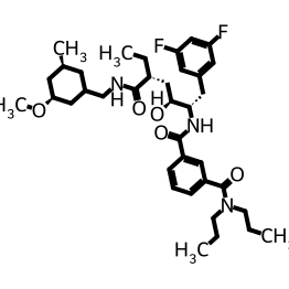 CCCN(CCC)C(=O)c1cccc(C(=O)N[C@@H](Cc2cc(F)cc(F)c2)[C@@H](O)C[C@@H](CC)C(=O)NCC2C[C@H](C)C[C@H](OC)C2)c1